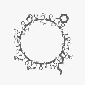 C/C=C/C[C@@H](C)[C@@H](O)[C@H]1C(=O)N[C@@H](CC)C(=O)N(C)CC(=O)N(C)[C@@H](Cc2ccccc2)C(=O)N[C@@H](C(C)C)C(=O)N(C)[C@@H](CC(C)C)C(=O)N[C@@H](CC)C(=O)N[C@H](C)C(=O)N(C)[C@@H](CC(C)C)C(=O)N(C)[C@@H](CC(C)C)C(=O)N(C)[C@@H](C(C)C)C(=O)N1C